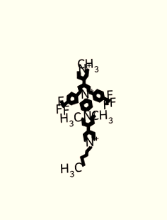 CCCCCC[n+]1ccc(-c2cc(C)[n+](-c3ccc(-[n+]4c(-c5ccc(C(F)(F)F)cc5)cc(-c5cc[n+](C)cc5)cc4-c4ccc(C(F)(F)F)cc4)cc3)c(C)c2)cc1